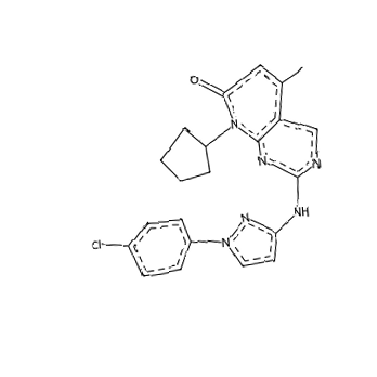 Cc1cc(=O)n(C2CCCC2)c2nc(Nc3ccn(-c4ccc(Cl)cc4)n3)ncc12